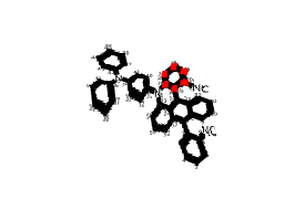 [C-]#[N+]c1ccccc1-c1c2ccccc2c(-c2ccccc2[N+]#[C-])c2c(N(c3ccccc3)c3ccc(N(c4ccccc4)c4ccccc4)cc3)cccc12